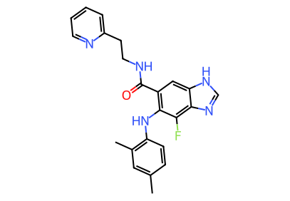 Cc1ccc(Nc2c(C(=O)NCCc3ccccn3)cc3[nH]cnc3c2F)c(C)c1